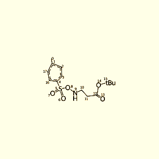 Cc1ccc(S(=O)(=O)ONCCC(=O)OC(C)(C)C)cc1